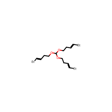 CCC=CCCOC(OCCC=CCC)OCCC=CCC